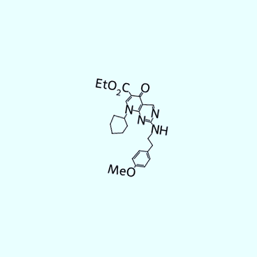 CCOC(=O)c1cn(C2CCCCC2)c2nc(NCCc3ccc(OC)cc3)ncc2c1=O